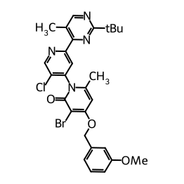 COc1cccc(COc2cc(C)n(-c3cc(-c4nc(C(C)(C)C)ncc4C)ncc3Cl)c(=O)c2Br)c1